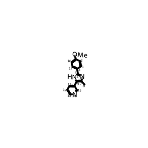 COc1ccc(-c2nc(C)c(-c3cccnc3)[nH]2)cc1